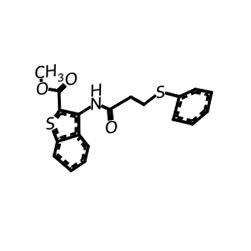 COC(=O)c1sc2ccccc2c1NC(=O)CCSc1ccccc1